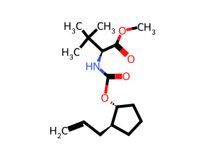 C=CC[C@@H]1CCC[C@H]1OC(=O)N[C@H](C(=O)OC)C(C)(C)C